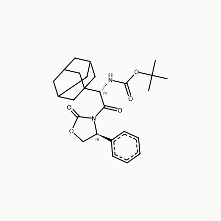 CC(C)(C)OC(=O)N[C@H](C(=O)N1C(=O)OC[C@@H]1c1ccccc1)C12CC3CC(CC(C3)C1)C2